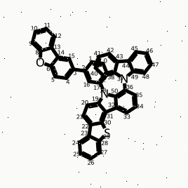 c1cc(-c2ccc3oc4ccccc4c3c2)cc(-n2c3ccc4c5ccccc5sc4c3c3cccc(-n4c5ccccc5c5ccccc54)c32)c1